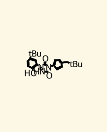 CC(C)(C)Cc1ccc(-n2c(=O)[nH]n(-c3cc(C(C)(C)C)ccc3O)c2=O)cc1